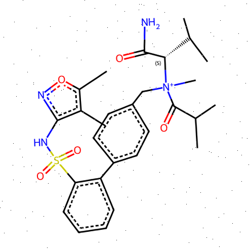 Cc1onc(NS(=O)(=O)c2ccccc2-c2ccc(C[N+](C)(C(=O)C(C)C)[C@H](C(N)=O)C(C)C)cc2)c1C